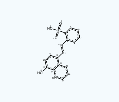 O=S(=O)(O)c1ccccc1N=Nc1ccc(O)c2ncccc12